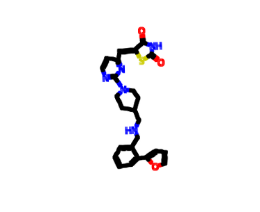 O=C1NC(=O)C(=Cc2ccnc(N3CCC(CNCc4ccccc4-c4ccco4)CC3)n2)S1